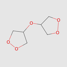 C1OOCC1OC1COOC1